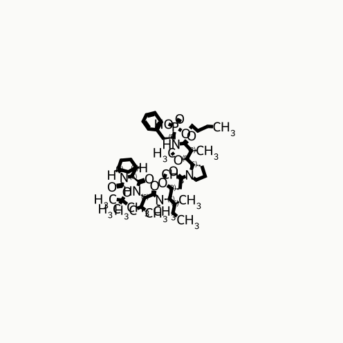 CCCCOP(=O)(O)[C@H](Cc1ccccc1)NC(=O)[C@H](C)[C@@H](OC)[C@@H]1CCCN1C(=O)C[C@@H](OC)[C@H]([C@@H](C)CC)N(C)C(=O)[C@@H](NC(=O)[C@@H]1[C@H]2CC[C@H](C2)N1C(=O)OC(C)(C)C)C(C)C